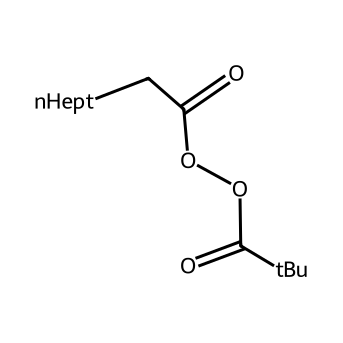 CCCCCCCCC(=O)OOC(=O)C(C)(C)C